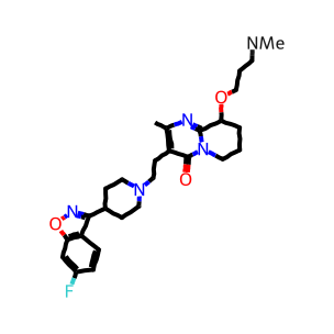 CNCCCOC1CCCn2c1nc(C)c(CCN1CCC(c3noc4cc(F)ccc34)CC1)c2=O